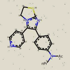 CCCN(C(C)=O)c1ccc(-c2nc3n(c2-c2ccncc2)CCS3)cc1